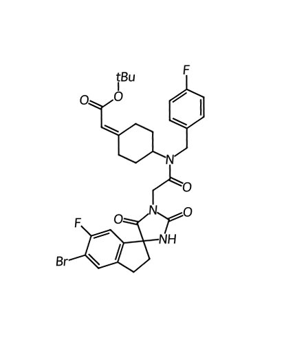 CC(C)(C)OC(=O)C=C1CCC(N(Cc2ccc(F)cc2)C(=O)CN2C(=O)NC3(CCc4cc(Br)c(F)cc43)C2=O)CC1